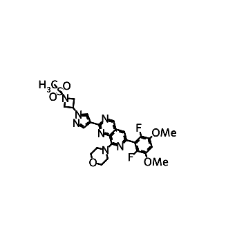 COc1cc(OC)c(F)c(-c2cc3cnc(-c4cnn(C5CN(S(C)(=O)=O)C5)c4)nc3c(N3CCOCC3)n2)c1F